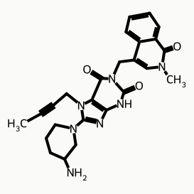 CC#CCn1c(N2CCCC(N)C2)nc2[nH]c(=O)n(Cc3cn(C)c(=O)c4ccccc34)c(=O)c21